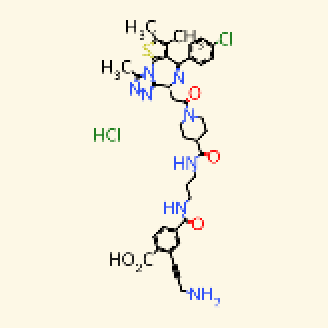 Cc1sc2c(c1C)C(c1ccc(Cl)cc1)=N[C@@H](CC(=O)N1CCC(C(=O)NCCCNC(=O)c3ccc(C(=O)O)c(C#CCN)c3)CC1)c1nnc(C)n1-2.Cl